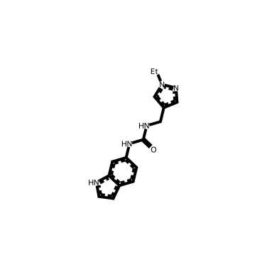 CCn1cc(CNC(=O)Nc2ccc3cc[nH]c3c2)cn1